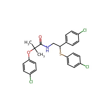 CC(C)(Oc1ccc(Cl)cc1)C(=O)NCC(Sc1ccc(Cl)cc1)c1ccc(Cl)cc1